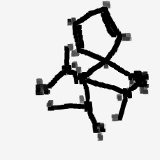 CCCC[C]1([Hf]([N](C)CC)([N](C)CC)[N](C)CC)C=CC=C1